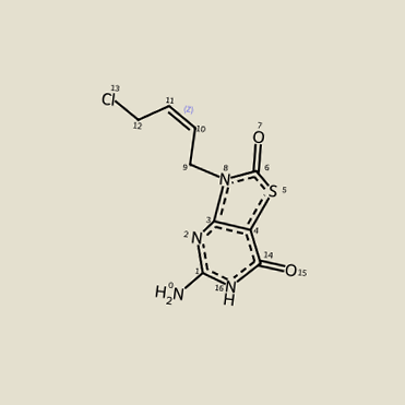 Nc1nc2c(sc(=O)n2C/C=C\CCl)c(=O)[nH]1